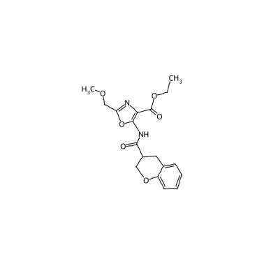 CCOC(=O)c1nc(COC)oc1NC(=O)C1COc2ccccc2C1